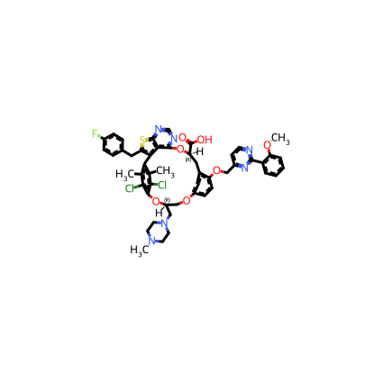 COc1ccccc1-c1nccc(COc2ccc3cc2C[C@H](C(=O)O)Oc2ncnc4sc(Cc5ccc(F)cc5)c(c24)-c2c(C)c(Cl)c(c(Cl)c2C)O[C@H](CN2CCN(C)CC2)CO3)n1